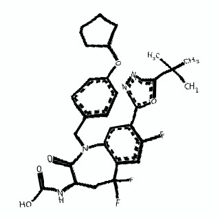 CC(C)(C)c1nnc(-c2cc3c(cc2F)C(F)(F)CC(NC(=O)O)C(=O)N3Cc2ccc(OC3CCCC3)cc2)o1